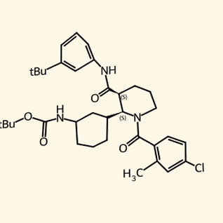 Cc1cc(Cl)ccc1C(=O)N1CCC[C@H](C(=O)Nc2cccc(C(C)(C)C)c2)[C@@H]1C1CCCC(NC(=O)OC(C)(C)C)C1